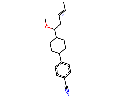 C/C=C/CC(OC)C1CCC(c2ccc(C#N)cc2)CC1